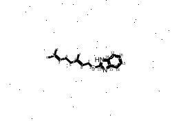 CC(C)=CCC/C(C)=C/CSc1nc2ccccc2[nH]1